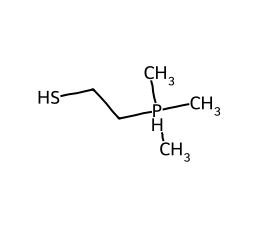 C[PH](C)(C)CCS